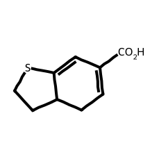 O=C(O)C1=CCC2CCSC2=C1